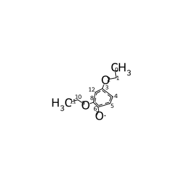 CCOc1ccc([O])c(OCC)c1